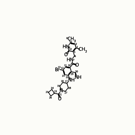 Cc1cc(C)c(CNC(=O)c2cc(Br)cc(NC3CCN(C(=O)C4CCC4)CC3)c2C=N)c(=O)[nH]1